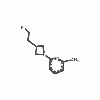 Cc1cccc(N2CC(CCBr)C2)n1